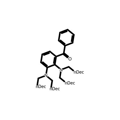 CCCCCCCCCCCN(CCCCCCCCCCC)c1cccc(C(=O)c2ccccc2)c1N(CCCCCCCCCCC)CCCCCCCCCCC